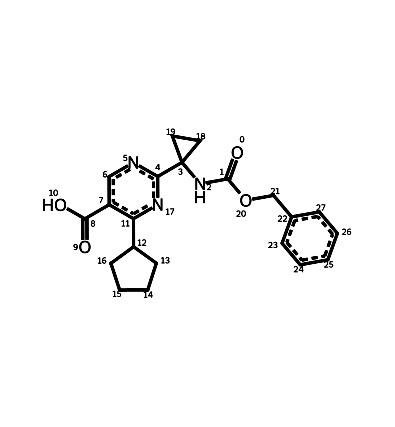 O=C(NC1(c2ncc(C(=O)O)c(C3CCCC3)n2)CC1)OCc1ccccc1